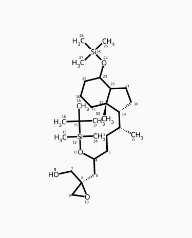 C[C@H](CCC(C[C@@]1(CO)CO1)O[Si](C)(C)C(C)(C)C)[C@H]1CCC2C(O[Si](C)(C)C)CCC[C@]21C